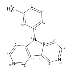 Cc1cccc(-n2c3ccncc3c3cnccc32)c1